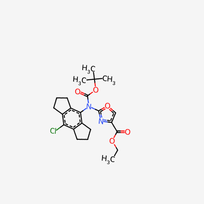 CCOC(=O)c1coc(N(C(=O)OC(C)(C)C)c2c3c(c(Cl)c4c2CCC4)CCC3)n1